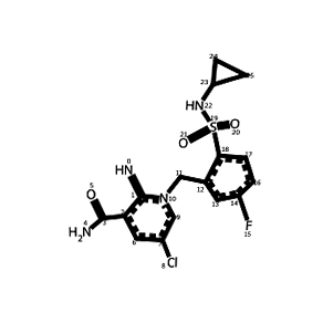 N=c1c(C(N)=O)cc(Cl)cn1Cc1cc(F)ccc1S(=O)(=O)NC1CC1